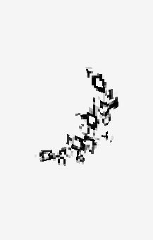 CC1C=Nc2c(cnc(OCC(=O)N3CCOCC3)c2Br)C1Oc1ccc(NC(=O)C2(C(=O)Nc3ccc(F)cc3)CC2)cc1F